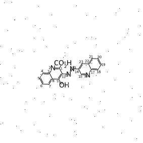 O=C(O)c1nc2ccccc2c(O)c1/N=N/c1cnc2ccccc2c1